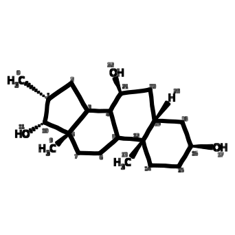 C[C@@H]1CC2C3C(CC[C@]2(C)[C@@H]1O)[C@@]1(C)CC[C@H](O)C[C@H]1C[C@@H]3O